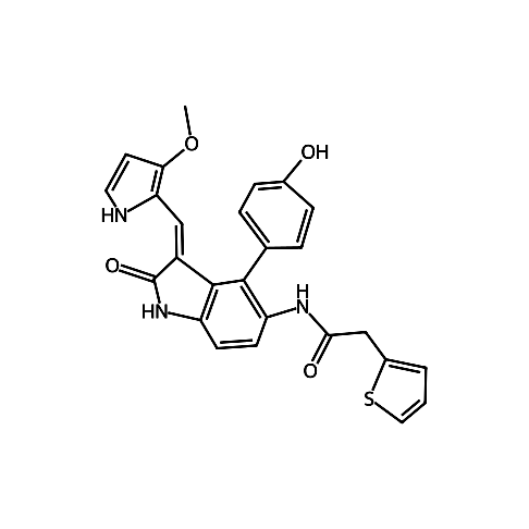 COc1cc[nH]c1C=C1C(=O)Nc2ccc(NC(=O)Cc3cccs3)c(-c3ccc(O)cc3)c21